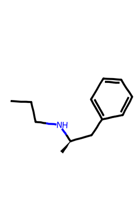 CCCN[C@H](C)Cc1ccccc1